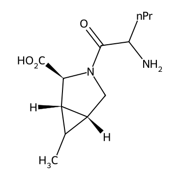 CCCC(N)C(=O)N1C[C@@H]2C(C)[C@@H]2[C@H]1C(=O)O